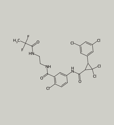 CC(F)(F)C(=O)NCCNC(=O)c1cc(NC(=O)C2C(c3cc(Cl)cc(Cl)c3)C2(Cl)Cl)ccc1Cl